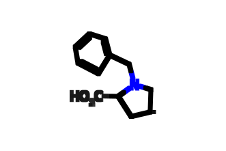 O=C(O)C1C[CH]CN1Cc1ccccc1